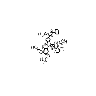 COc1cc(OCCO)c(F)c([C@@H](Nc2ccc(C([AsH2])=NC(=O)c3ccccc3)cc2)c2nc(OC(C)OC(=O)O)n(-c3ncccn3)n2)c1